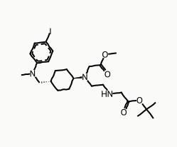 COC(=O)CN(CCNCC(=O)OC(C)(C)C)[C@H]1CC[C@H](CN(C)c2ccc(I)cc2)CC1